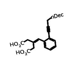 CCCCCCCCCCCC#Cc1ccccc1C=C(CC(=O)O)CC(=O)O